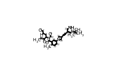 CNC(=O)C(CCC=O)N(C=O)C(=O)c1cc(N2CC(C#C/C(C=N)=C/NC(C)(C)C)C2)ccc1C